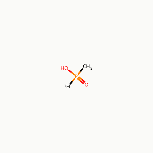 [3H]P(C)(=O)O